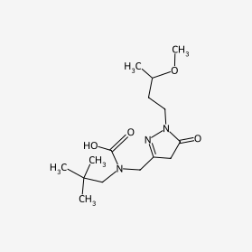 COC(C)CCN1N=C(CN(CC(C)(C)C)C(=O)O)CC1=O